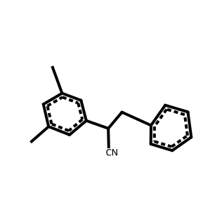 Cc1cc(C)cc(C(C#N)Cc2ccccc2)c1